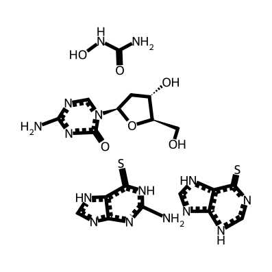 NC(=O)NO.Nc1nc2nc[nH]c2c(=S)[nH]1.Nc1ncn([C@H]2C[C@H](O)[C@@H](CO)O2)c(=O)n1.S=c1nc[nH]c2nc[nH]c12